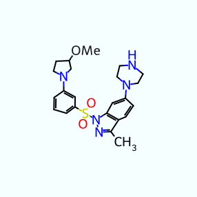 COC1CCN(c2cccc(S(=O)(=O)n3nc(C)c4ccc(N5CCNCC5)cc43)c2)C1